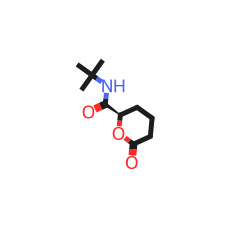 CC(C)(C)NC(=O)[C@H]1CCCC(=O)O1